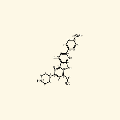 CCOc1nc(N2CCNCC2)nc2c1sc1nc(-c3ccc(SC)cc3)cc(C)c12